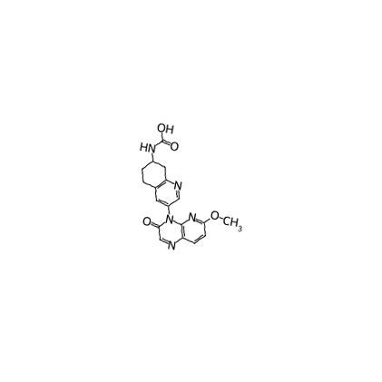 COc1ccc2ncc(=O)n(-c3cnc4c(c3)CCC(NC(=O)O)C4)c2n1